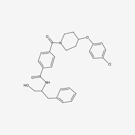 O=C(NC(CO)Cc1ccccc1)c1ccc(C(=O)N2CCC(Oc3ccc(Cl)cc3)CC2)cc1